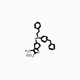 CCOC(=O)c1oc2ccc(SN(CCc3ccccc3)c3ccc(Cc4ccccc4)cc3)cc2c1C